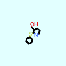 OCc1cccnc1Sc1ccccc1